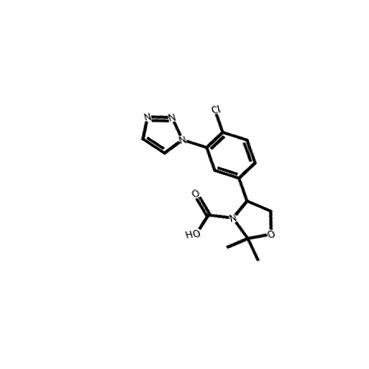 CC1(C)OCC(c2ccc(Cl)c(-n3ccnn3)c2)N1C(=O)O